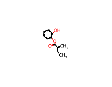 C=C(CC)C(=O)Oc1ccccc1O